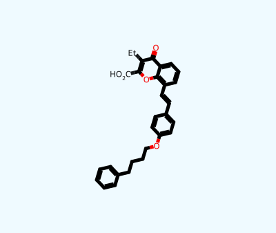 CCc1c(C(=O)O)oc2c(C=Cc3ccc(OCCCCc4ccccc4)cc3)cccc2c1=O